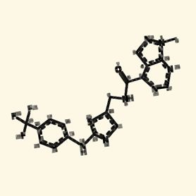 Cn1ncc2c(C(=O)NCc3cnc(Nc4ccc(C(F)(F)F)cc4)s3)ncnc21